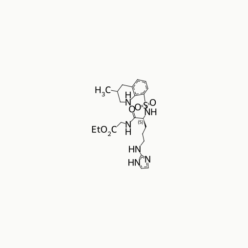 CCOC(=O)CNC(=O)[C@H](CCCNc1ncc[nH]1)NS(=O)(=O)c1cccc2c1NCC(C)C2